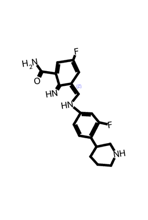 N=C1C(C(N)=O)=CC(F)=C/C1=C/Nc1ccc(C2CCCNC2)c(F)c1